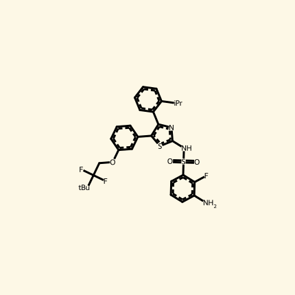 CC(C)c1ccccc1-c1nc(NS(=O)(=O)c2cccc(N)c2F)sc1-c1cccc(OCC(F)(F)C(C)(C)C)c1